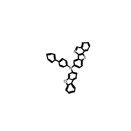 c1ccc(-c2ccc(N(c3ccc4c(c3)oc3ccccc34)c3ccc4sc5c6ccccc6cnc5c4c3)cc2)cc1